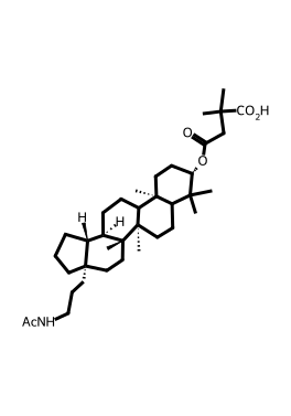 CC(=O)NCCC[C@]12CCC[C@@H]1[C@H]1CCC3[C@@]4(C)CC[C@H](OC(=O)CC(C)(C)C(=O)O)C(C)(C)C4CC[C@@]3(C)[C@]1(C)CC2